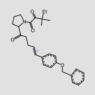 CCC(C)(C)C(=O)C(=O)N1CCCC1C(=O)CC/C=C/c1ccc(OCc2ccccc2)cc1